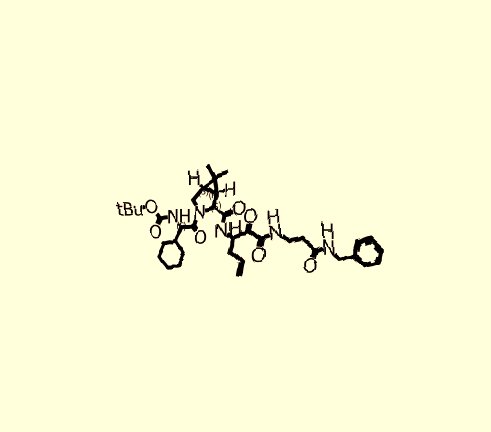 C=CCC(NC(=O)[C@@H]1[C@@H]2[C@H](CN1C(=O)[C@@H](NC(=O)OC(C)(C)C)C1CCCCC1)C2(C)C)C(=O)C(=O)NCCC(=O)NCc1ccccc1